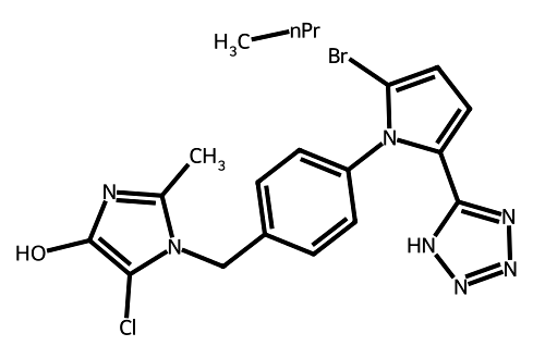 CCCC.Cc1nc(O)c(Cl)n1Cc1ccc(-n2c(Br)ccc2-c2nnn[nH]2)cc1